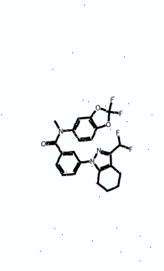 CN(C(=O)c1cccc(-n2nc(C(F)F)c3c2CCCC3)c1)c1ccc2c(c1)OC(F)(F)O2